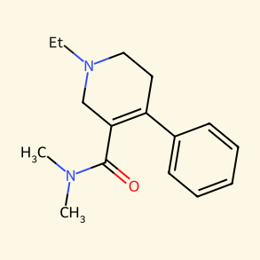 CCN1CCC(c2ccccc2)=C(C(=O)N(C)C)C1